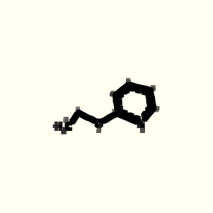 [CH2]COc1ccccn1